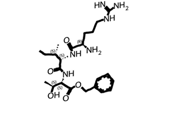 CC[C@H](C)[C@H](NC(=O)[C@H](N)CCCNC(=N)N)C(=O)N[C@H](C(=O)OCc1ccccc1)[C@H](C)O